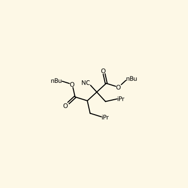 CCCCOC(=O)C(CC(C)C)C(C#N)(CC(C)C)C(=O)OCCCC